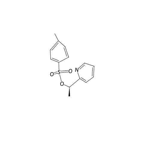 Cc1ccc(S(=O)(=O)O[C@H](C)c2ccccn2)cc1